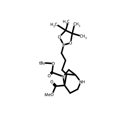 COC(=O)C12CCNC(CN1C(=O)OC(C)(C)C)C2CCCB1OC(C)(C)C(C)(C)O1